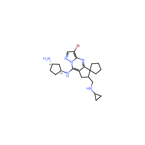 N[C@H]1CC[C@H](Nc2c3c(nc4c(Br)cnn24)C2(CCCC2)C(CNC2CC2)C3)C1